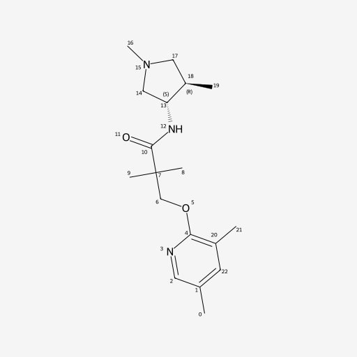 Cc1cnc(OCC(C)(C)C(=O)N[C@@H]2CN(C)C[C@H]2C)c(C)c1